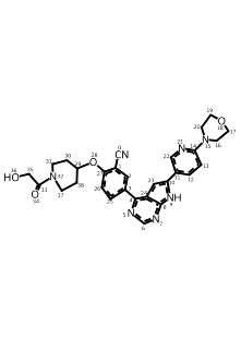 N#Cc1cc(-c2ncnc3[nH]c(-c4ccc(N5CCOCC5)nc4)cc23)ccc1OC1CCN(C(=O)CO)CC1